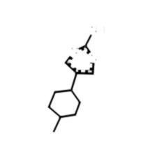 CC1CCC(c2cnc(N)nc2)CC1